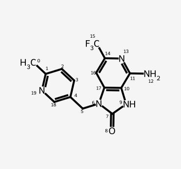 Cc1ccc(Cn2c(=O)[nH]c3c(N)nc(C(F)(F)F)cc32)cn1